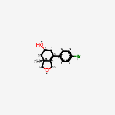 O[C@H]1CC(c2ccc(Br)cc2)=C2COC[C@@H]2C1